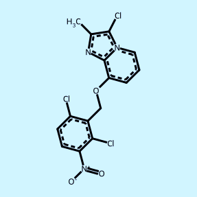 Cc1nc2c(OCc3c(Cl)ccc([N+](=O)[O-])c3Cl)cccn2c1Cl